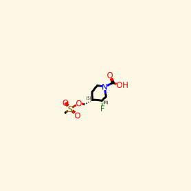 CS(=O)(=O)OC[C@@H]1CCN(C(=O)O)C[C@@H]1F